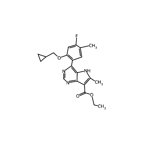 CCOC(=O)c1c(C)[nH]c2c(-c3cc(C)c(F)cc3OCC3CC3)ncnc12